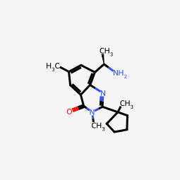 Cc1cc([C@@H](C)N)c2nc(C3(C)CCCC3)n(C)c(=O)c2c1